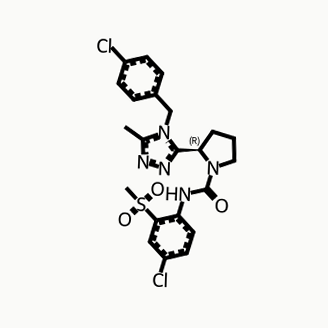 Cc1nnc([C@H]2CCCN2C(=O)Nc2ccc(Cl)cc2S(C)(=O)=O)n1Cc1ccc(Cl)cc1